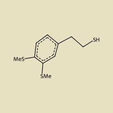 CSc1ccc(CCS)cc1SC